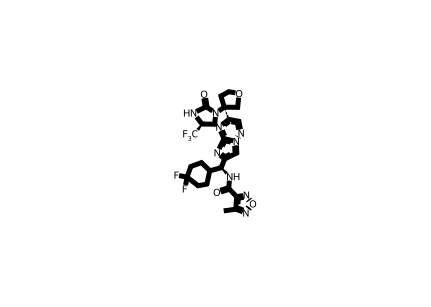 Cc1nonc1C(=O)N[C@H](c1cn2ncc([C@]3(N4C[C@@H](C(F)(F)F)NC4=O)CCOC3)nc2n1)C1CCC(F)(F)CC1